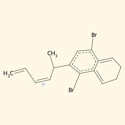 C=C/C=C\C(C)c1cc(Br)c2c(c1Br)=CCCC=2